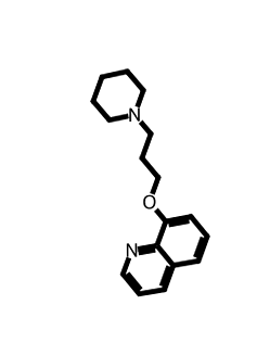 c1cnc2c(OCCCN3CCCCC3)cccc2c1